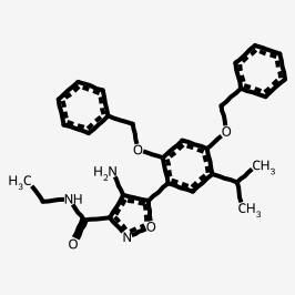 CCNC(=O)c1noc(-c2cc(C(C)C)c(OCc3ccccc3)cc2OCc2ccccc2)c1N